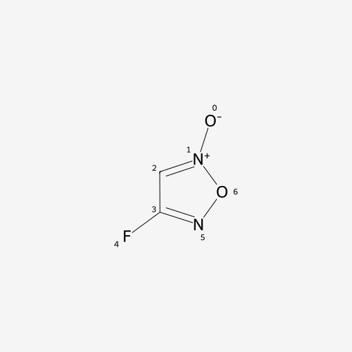 [O-][n+]1cc(F)no1